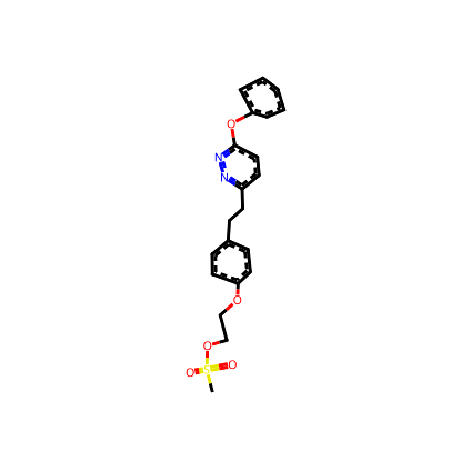 CS(=O)(=O)OCCOc1ccc(CCc2ccc(Oc3ccccc3)nn2)cc1